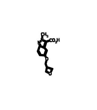 Cn1nc2ccc(OCC3COC3)cc2c1C(=O)O